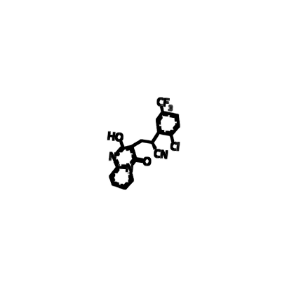 N#C[C@@H](Cc1c(O)nc2ccccn2c1=O)c1cc(C(F)(F)F)ccc1Cl